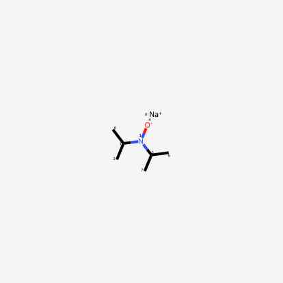 CC(C)N([O-])C(C)C.[Na+]